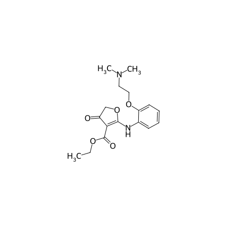 CCOC(=O)C1=C(Nc2ccccc2OCCN(C)C)OCC1=O